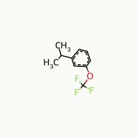 CC(C)c1cccc(OC(F)(F)F)c1